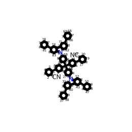 N#Cc1ccccc1-c1ccc(C(c2ccc(-c3ccccc3C#N)cc2)(c2ccc(-n3c4ccc(-c5ccccc5)cc4c4cc(-c5ccccc5)ccc43)cc2)c2ccc(-n3c4ccc(-c5ccccc5)cc4c4cc(-c5ccccc5)ccc43)cc2)cc1